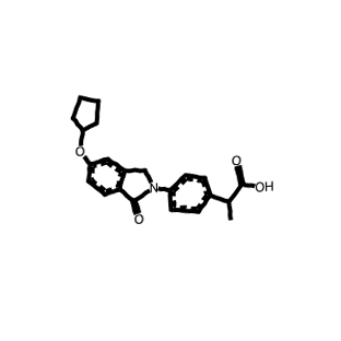 CC(C(=O)O)c1ccc(N2Cc3cc(OC4CCCC4)ccc3C2=O)cc1